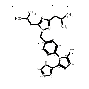 CC(C)Cc1nc(CC(C)C)n(Cc2ccc(-n3c(F)ccc3-c3nnn[nH]3)cc2)n1